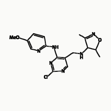 COc1ccc(Nc2nc(Cl)ncc2CNC2C(C)=NOC2C)nc1